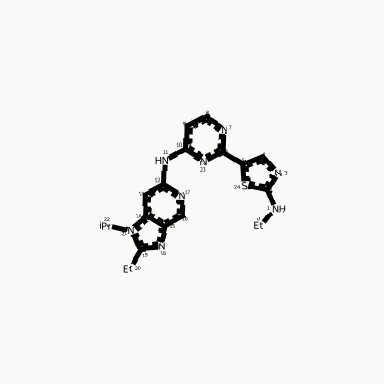 CCNc1ncc(-c2nccc(Nc3cc4c(cn3)nc(CC)n4C(C)C)n2)s1